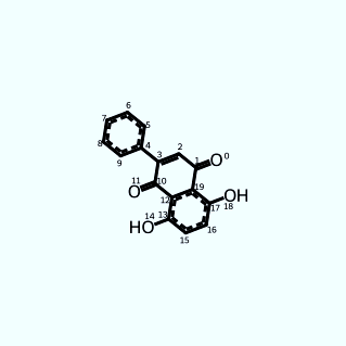 O=C1C=C(c2ccccc2)C(=O)c2c(O)ccc(O)c21